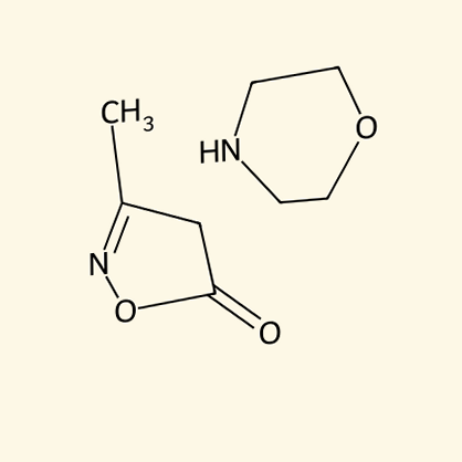 C1COCCN1.CC1=NOC(=O)C1